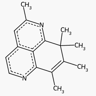 CC1=C(C)C(C)(C)c2nc(C)cc3ccnc1c23